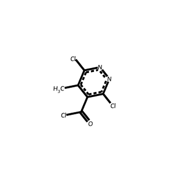 Cc1c(Cl)nnc(Cl)c1C(=O)Cl